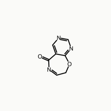 O=C1N=CCOc2ncncc21